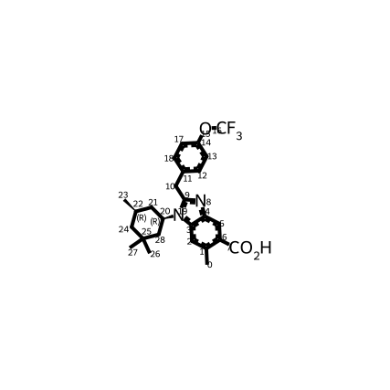 Cc1cc2c(cc1C(=O)O)nc(Cc1ccc(OC(F)(F)F)cc1)n2[C@@H]1C[C@H](C)CC(C)(C)C1